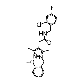 COc1ccccc1Cn1nc(C)c(CC(=O)NCc2ccc(F)cc2Cl)c1C